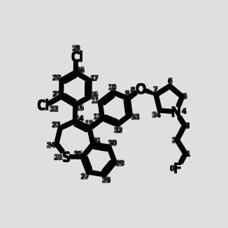 FCCCN1CC[C@H](Oc2ccc(C3=C(c4ccc(Cl)cc4Cl)CCSc4ccccc43)cc2)C1